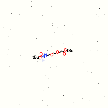 CC(C)(C)OC(=O)CCOCCOC/C=N/NC(=O)OC(C)(C)C